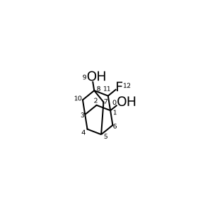 OC12CC3CC(C1)CC(O)(C3)C2F